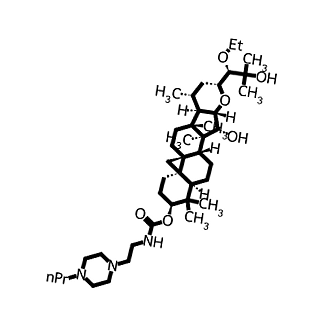 CCCN1CCN(CCNC(=O)O[C@H]2CC[C@]34C[C@]35CC[C@]3(C)[C@@H]6[C@H](O[C@@H]([C@H](OCC)C(C)(C)O)C[C@H]6C)[C@H](O)[C@@]3(C)[C@@H]5CC[C@H]4C2(C)C)CC1